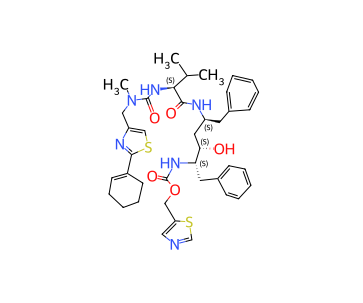 CC(C)[C@H](NC(=O)N(C)Cc1csc(C2=CCCCC2)n1)C(=O)N[C@@H](Cc1ccccc1)C[C@H](O)[C@H](Cc1ccccc1)NC(=O)OCc1cncs1